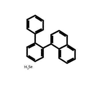 [SeH2].c1ccc(-c2ccccc2-c2cccc3ccccc23)cc1